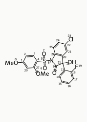 COc1ccc(S(=O)(=O)N2C(=O)C(O)(c3ccccc3F)c3cc(Cl)ccc32)c(OC)c1